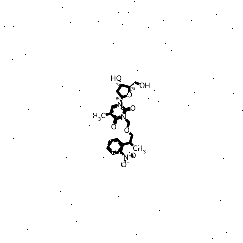 Cc1cn([C@H]2C[C@H](O)[C@@H](CO)O2)c(=O)n(COCC(C)c2ccccc2[N+](=O)[O-])c1=O